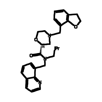 CC(C)CN(Cc1cccc2cccnc12)C(=O)[C@H]1CN(Cc2cccc3c2OCC3)CCO1